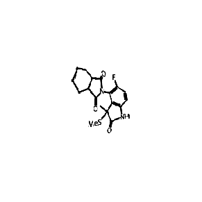 CSC1(C)C(=O)Nc2ccc(F)c(N3C(=O)C4CCCCC4C3=O)c21